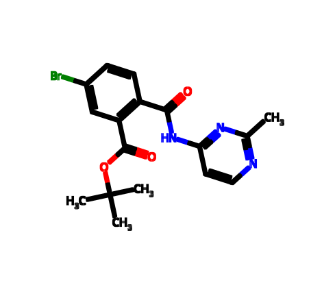 Cc1nccc(NC(=O)c2ccc(Br)cc2C(=O)OC(C)(C)C)n1